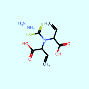 C=CC(C(=O)O)N(C(=S)S)C(C=C)C(=O)O.N.N